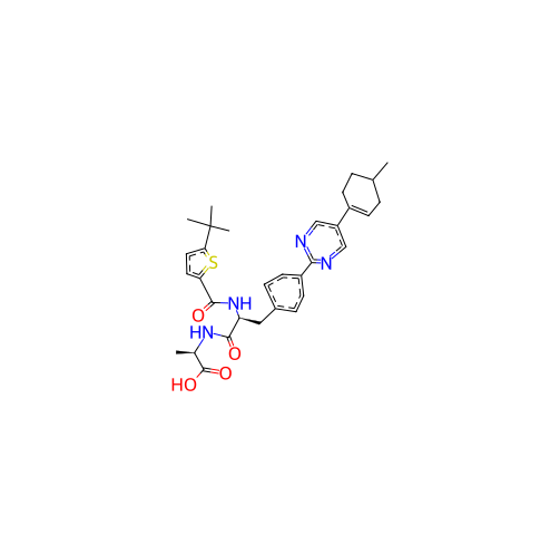 CC1CC=C(c2cnc(-c3ccc(C[C@H](NC(=O)c4ccc(C(C)(C)C)s4)C(=O)N[C@H](C)C(=O)O)cc3)nc2)CC1